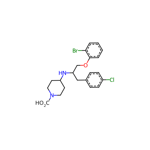 O=C(O)N1CCC(NC(COc2ccccc2Br)Cc2ccc(Cl)cc2)CC1